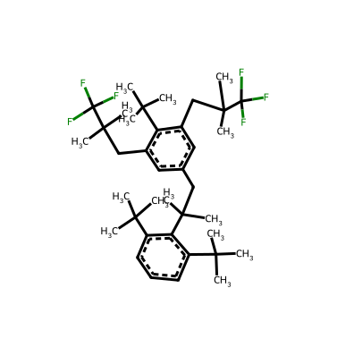 CC(C)(C)c1cccc(C(C)(C)C)c1C(C)(C)Cc1cc(CC(C)(C)C(F)(F)F)c(C(C)(C)C)c(CC(C)(C)C(F)(F)F)c1